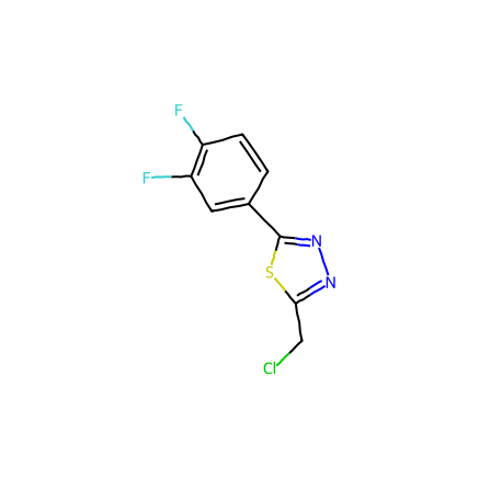 Fc1ccc(-c2nnc(CCl)s2)cc1F